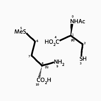 CC(=O)N[C@@H](CS)C(=O)O.CSCC[C@H](N)C(=O)O